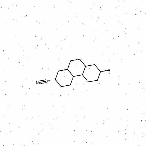 C[C@H]1CCC2C(CCC3C[C@@H](C#N)CCC32)C1